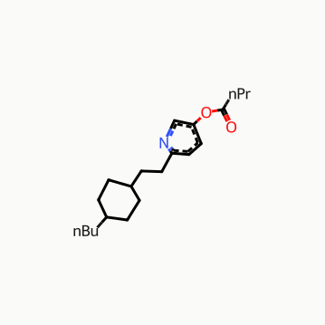 CCCCC1CCC(CCc2ccc(OC(=O)CCC)cn2)CC1